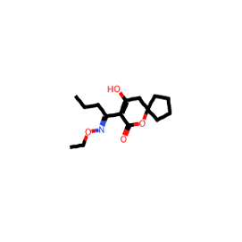 CCCC(=NOCC)C1=C(O)CC2(CCCC2)OC1=O